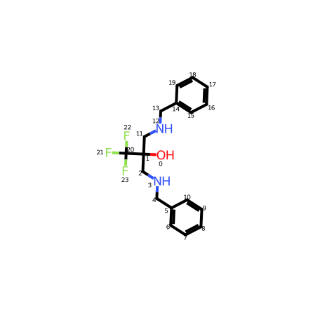 OC(CNCc1ccccc1)(CNCc1ccccc1)C(F)(F)F